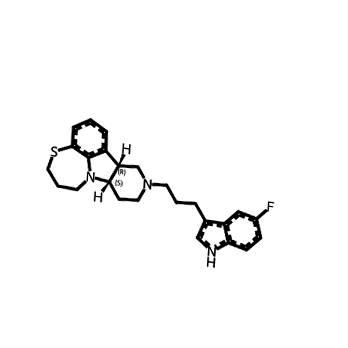 Fc1ccc2[nH]cc(CCCN3CC[C@H]4[C@@H](C3)c3cccc5c3N4CCCS5)c2c1